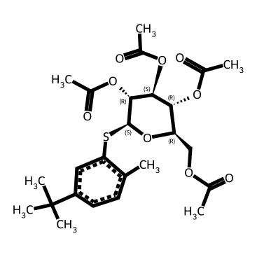 CC(=O)OC[C@H]1O[C@@H](Sc2cc(C(C)(C)C)ccc2C)[C@H](OC(C)=O)[C@@H](OC(C)=O)[C@@H]1OC(C)=O